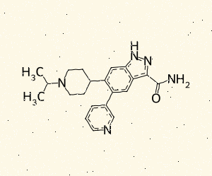 CC(C)N1CCC(c2cc3[nH]nc(C(N)=O)c3cc2-c2cccnc2)CC1